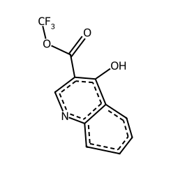 O=C(OC(F)(F)F)c1cnc2ccccc2c1O